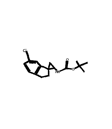 CC(C)(C)OC(=O)NC1CC12CCc1ccc(Cl)cc12